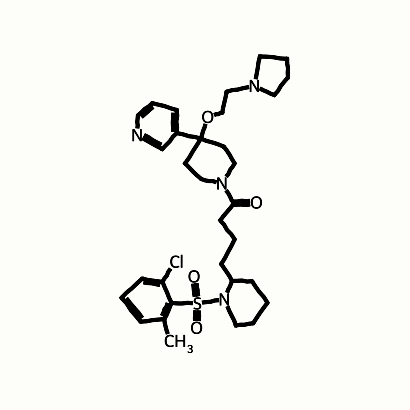 Cc1cccc(Cl)c1S(=O)(=O)N1CCCCC1CCCC(=O)N1CCC(OCCN2CCCC2)(c2cccnc2)CC1